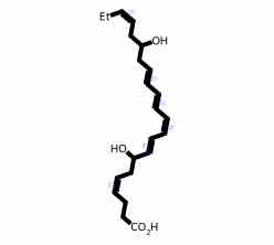 CC/C=C\CC(O)C/C=C/C=C/C=C\C=C\C(O)C/C=C\CCC(=O)O